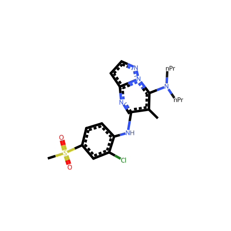 CCCN(CCC)c1c(C)c(Nc2ccc(S(C)(=O)=O)cc2Cl)nc2ccnn12